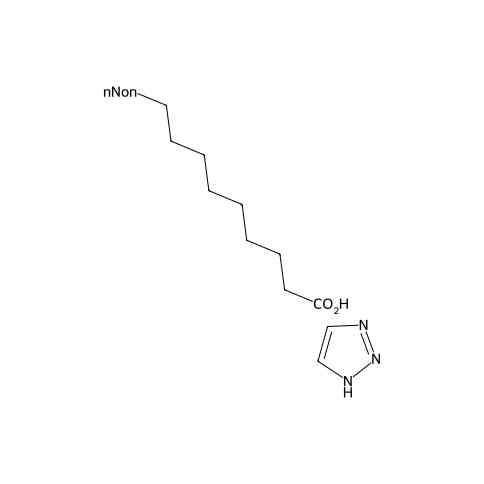 CCCCCCCCCCCCCCCCCC(=O)O.c1c[nH]nn1